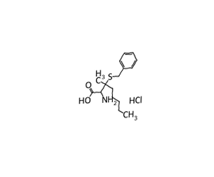 CCCCCC(C)(SCc1ccccc1)C(N)C(=O)O.Cl